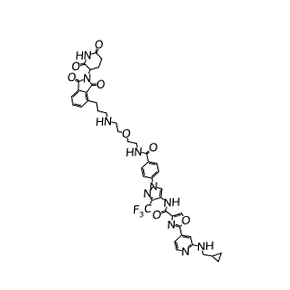 O=C1CCC(N2C(=O)c3cccc(CCCNCCOCCNC(=O)c4ccc(-n5cc(NC(=O)c6coc(-c7ccnc(NCC8CC8)c7)n6)c(C(F)(F)F)n5)cc4)c3C2=O)C(=O)N1